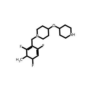 CC1C(F)=C(CN2CCC(OC3CCNCC3)CC2)C(F)=CC1F